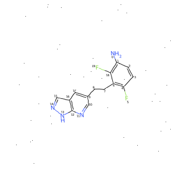 Nc1ccc(F)c(CCc2cnc3[nH]ncc3c2)c1F